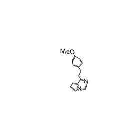 COc1ccc(CCc2nccn3cccc23)cc1